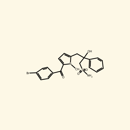 Cn1c(CC(O)(CS(N)(=O)=O)c2ccccc2)ccc1C(=O)c1ccc(Br)cc1